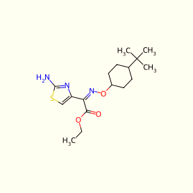 CCOC(=O)C(=NOC1CCC(C(C)(C)C)CC1)c1csc(N)n1